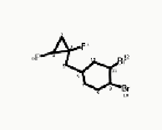 FC1CC1(F)C[C]1CCC(Br)C(Br)C1